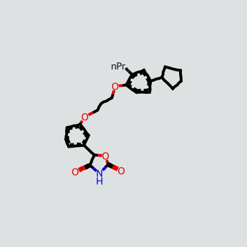 CCCc1cc(C2CCCC2)ccc1OCCCOc1cccc(C2OC(=O)NC2=O)c1